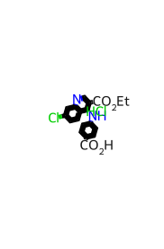 CCOC(=O)c1cnc2cc(Cl)ccc2c1Nc1ccc(C(=O)O)cc1.Cl